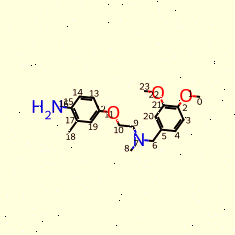 COc1ccc(CN(C)CCOc2ccc(N)c(C)c2)cc1OC